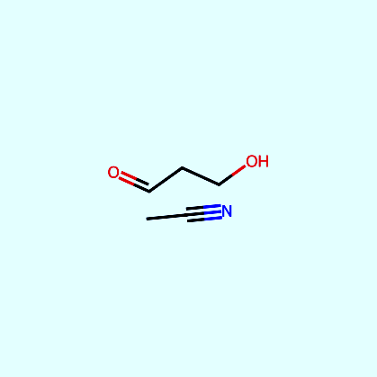 CC#N.O=CCCO